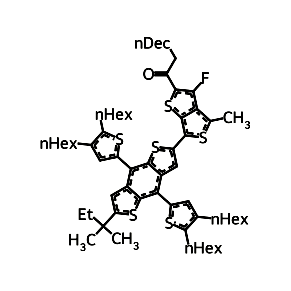 CCCCCCCCCCCC(=O)c1sc2c(-c3cc4c(-c5cc(CCCCCC)c(CCCCCC)s5)c5sc(C(C)(C)CC)cc5c(-c5cc(CCCCCC)c(CCCCCC)s5)c4s3)sc(C)c2c1F